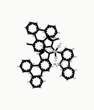 CC1=Cc2c(ccc(C)c2-c2ccccc2-c2ccccc2)[CH]1[Zr]([Cl])([Cl])([c]1cccc2c1[SiH2]c1ccccc1-2)[CH]1C(C)=Cc2c1ccc(C)c2-c1ccccc1-c1ccccc1